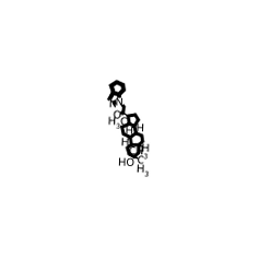 C[C@@]1(O)CC[C@@]2(C)[C@H](CC[C@@H]3[C@@H]2CC[C@]2(C)[C@@H](C(=O)Cn4ncc5ccccc54)CC[C@@H]32)C1